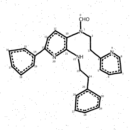 O=CN(CCc1ccccn1)c1ccc(-c2ccccc2)nc1NCCc1ccccc1